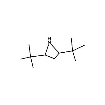 CC(C)(C)C1CC(C(C)(C)C)N1